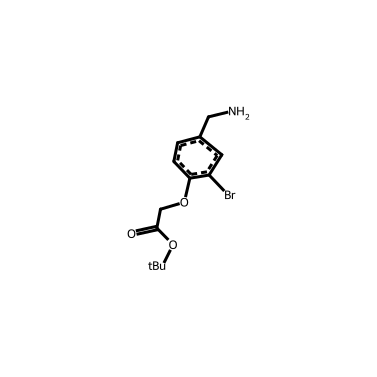 CC(C)(C)OC(=O)COc1ccc(CN)cc1Br